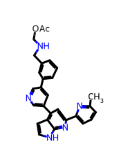 CC(=O)OCNCc1cccc(-c2cncc(-c3cc(-c4cccc(C)n4)nc4[nH]ccc34)c2)c1